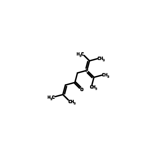 CC(C)=CC(=O)CP(=C(C)C)=C(C)C